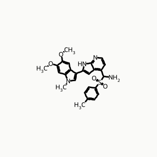 COc1cc2c(-c3cc4c(C(N)S(=O)(=O)c5ccc(C)cc5)ccnc4[nH]3)cn(C)c2cc1OC